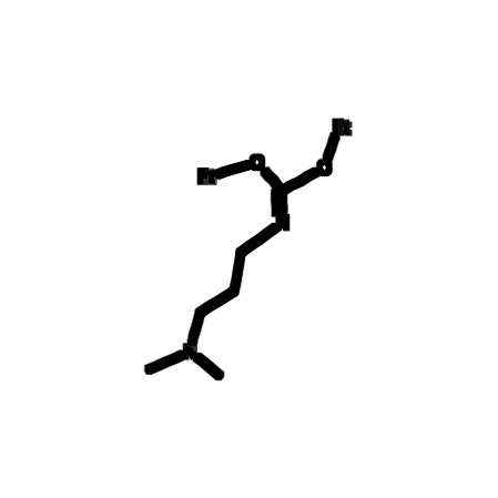 CCOC(=NCCCN(C)C)OCC